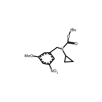 COc1cc(CN(C(=O)OC(C)(C)C)C2CC2)cc([N+](=O)[O-])c1